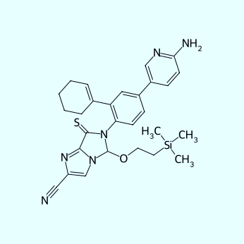 C[Si](C)(C)CCOC1N(c2ccc(-c3ccc(N)nc3)cc2C2=CCCCC2)C(=S)c2nc(C#N)cn21